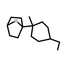 CCC1CCC(C)(C23CCC(CC2)O3)CC1